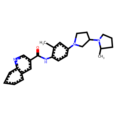 Cc1cc(N2CCC(N3CCCC3C)C2)ccc1NC(=O)c1cnc2ccccc2c1